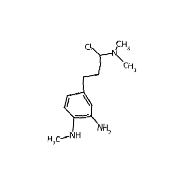 CNc1ccc(CCC(Cl)N(C)C)cc1N